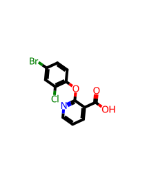 O=C(O)c1cccnc1Oc1ccc(Br)cc1Cl